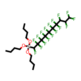 CCCCO[Si](OCCCC)(OCCCC)C(F)C(F)(F)C(F)(F)C(F)(F)C(F)(F)C(F)(F)C(F)(F)C(F)C(F)C(F)F